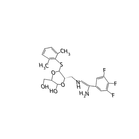 Cc1cccc(C)c1SC1OC(CO)C(O)O[C@H]1CN/C=C(\N)c1cc(F)c(F)c(F)c1